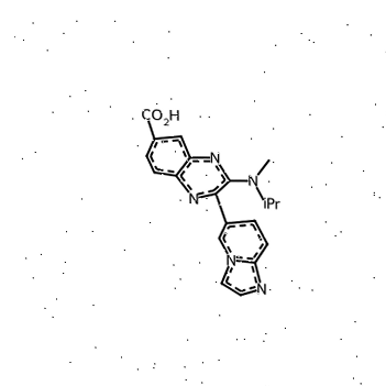 CC(C)N(C)c1nc2cc(C(=O)O)ccc2nc1-c1ccc2nccn2c1